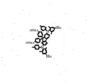 CCCCCCc1ccc(C2(c3ccc(CCCCCC)cc3)c3cc(N(c4ccc(C)cc4)c4c(C)cc(C(C)(C)C)cc4C)ccc3-c3ccc(N(c4ccc(C)cc4)c4c(C)cc(C(C)(C)C)cc4C)cc32)cc1